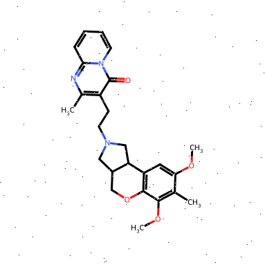 COc1cc2c(c(OC)c1C)OCC1CN(CCc3c(C)nc4ccccn4c3=O)CC21